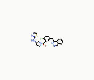 O=C(c1cc(Cc2nncc3ccccc23)ccc1F)N1CC[C@@H](Nc2nccs2)C1